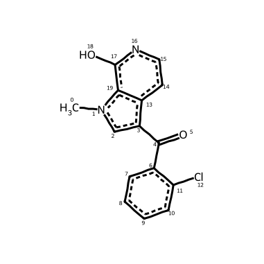 Cn1cc(C(=O)c2ccccc2Cl)c2ccnc(O)c21